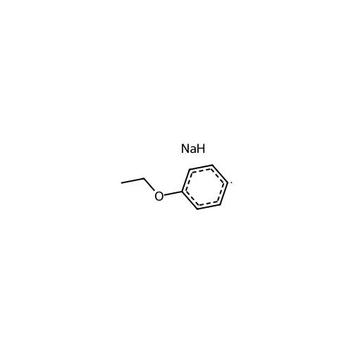 CCOc1cc[c]cc1.[NaH]